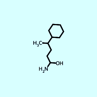 CC(CCC(N)O)C1CCCCC1